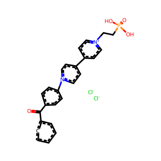 O=C(c1ccccc1)c1ccc(-[n+]2ccc(-c3cc[n+](CCP(=O)(O)O)cc3)cc2)cc1.[Cl-].[Cl-]